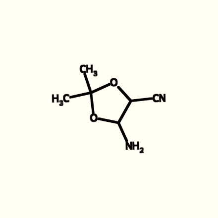 CC1(C)OC(N)C(C#N)O1